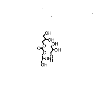 O=C(OCC(O)CO)OCC(O)CO.OCC(O)CO